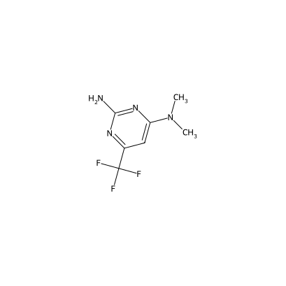 CN(C)c1cc(C(F)(F)F)nc(N)n1